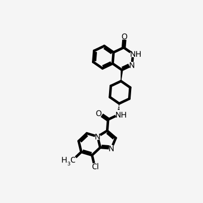 Cc1ccn2c(C(=O)N[C@H]3CC[C@H](c4n[nH]c(=O)c5ccccc54)CC3)cnc2c1Cl